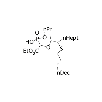 CCCCCCCCCCCCCSC(CCCCCCC)C(C)OC(C(=O)OCC)P(=O)(O)OCCC